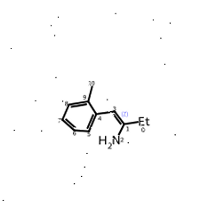 CC/C(N)=C/c1ccccc1C